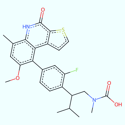 COc1cc(C)c2[nH]c(=O)c3sccc3c2c1-c1ccc(C(CN(C)C(=O)O)C(C)C)c(F)c1